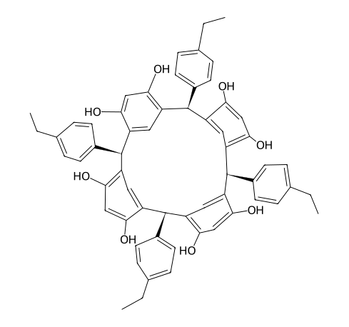 CCc1ccc([C@H]2c3cc(c(O)cc3O)[C@@H](c3ccc(CC)cc3)c3cc(c(O)cc3O)[C@@H](c3ccc(CC)cc3)c3cc(c(O)cc3O)[C@@H](c3ccc(CC)cc3)c3cc2c(O)cc3O)cc1